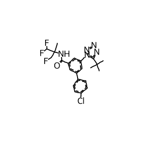 CC(C)(C)c1nnnn1-c1cc(C(=O)NC(C)(CF)C(F)F)cc(-c2ccc(Cl)cc2)c1